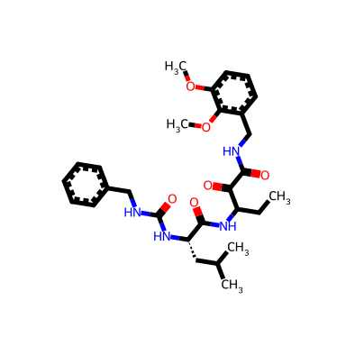 CCC(NC(=O)[C@H](CC(C)C)NC(=O)NCc1ccccc1)C(=O)C(=O)NCc1cccc(OC)c1OC